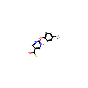 O=C(Cl)c1cnc(Oc2ccc(C(F)(F)F)cc2)nc1